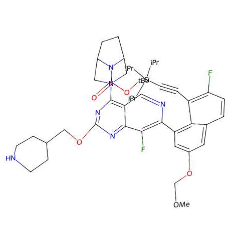 COCOc1cc(-c2ncc3c(N4CC5CCC(C4)N5C(=O)OC(C)(C)C)nc(OCC4CCNCC4)nc3c2F)c2c(C#C[Si](C(C)C)(C(C)C)C(C)C)c(F)ccc2c1